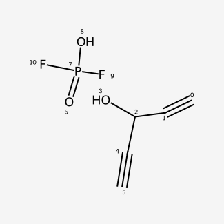 C#CC(O)C#C.O=P(O)(F)F